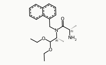 CCOC(OCC)[C@@H](C)N(Cc1cccc2ccccc12)C(=O)[C@H](C)N